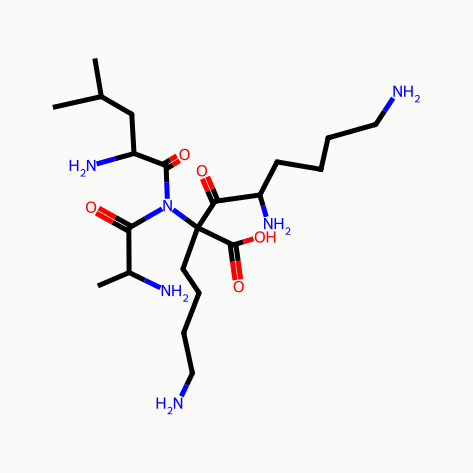 CC(C)CC(N)C(=O)N(C(=O)C(C)N)C(CCCCN)(C(=O)O)C(=O)C(N)CCCCN